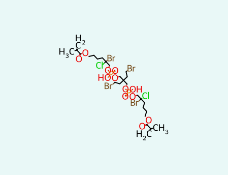 C=C(C)C(=O)OCCCCC(Cl)(Br)COP(=O)(O)OCC(CCBr)(CCBr)COP(=O)(O)OCC(Cl)(Br)CCCCOC(=O)C(=C)C